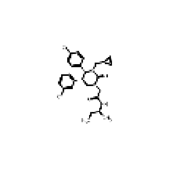 CCC(C)NC(=O)C[C@H]1C[C@H](c2cccc(Cl)c2)[C@@H](c2ccc(Cl)cc2)N(CC2CC2)C1=O